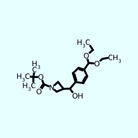 CCOC(OCC)c1ccc(C(O)C2CN(C(=O)OC(C)(C)C)C2)cc1